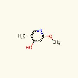 COc1cc(O)c(C)cn1